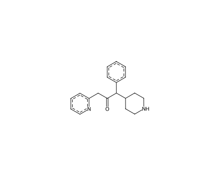 O=C(Cc1ccccn1)C(c1ccccc1)C1CCNCC1